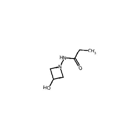 CCC(=O)NN1CC(O)C1